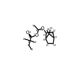 CCC(C)(C)C(=O)OC(C)OC1CC2CCC1C2(C)C